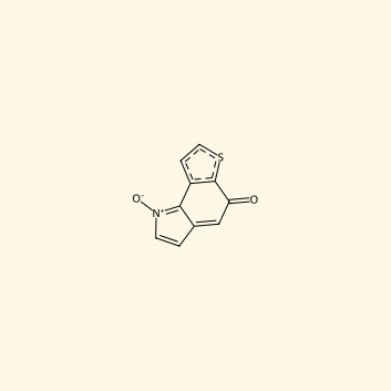 O=C1C=C2C=C[N+]([O-])=C2c2ccsc21